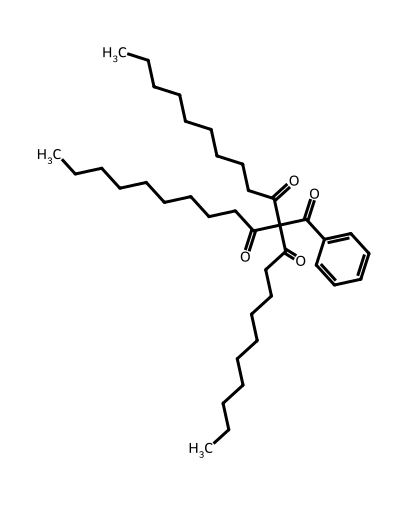 CCCCCCCCCC(=O)C(C(=O)CCCCCCCCC)(C(=O)CCCCCCCCC)C(=O)c1ccccc1